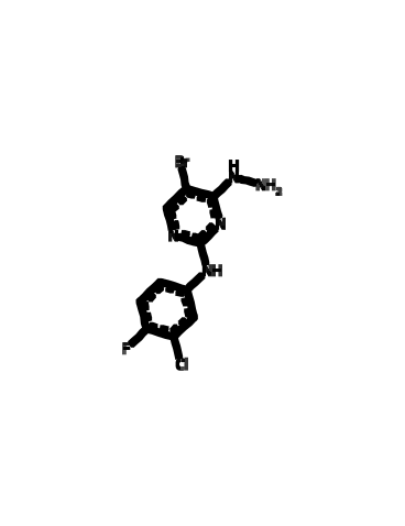 NNc1nc(Nc2ccc(F)c(Cl)c2)ncc1Br